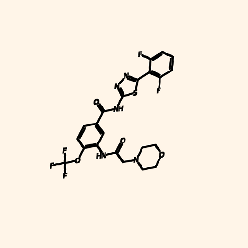 O=C(CN1CCOCC1)Nc1cc(C(=O)Nc2nnc(-c3c(F)cccc3F)s2)ccc1OC(F)(F)F